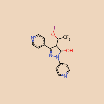 OC1C(C(OI)C(F)(F)F)C(c2ccncc2)=NN1c1ccncc1